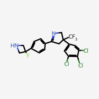 FC1(c2ccc(C3=NCC(c4cc(Cl)c(Cl)c(Cl)c4)(C(F)(F)F)C3)cc2)CNC1